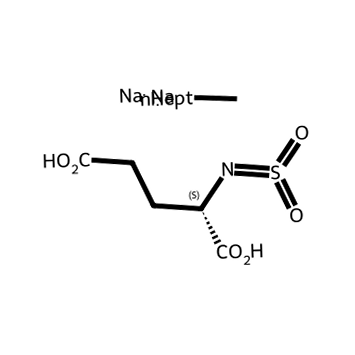 CCCCCCCC.O=C(O)CC[C@H](N=S(=O)=O)C(=O)O.[Na].[Na]